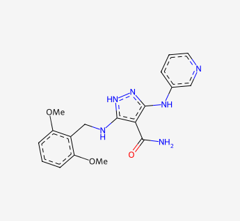 COc1cccc(OC)c1CNc1[nH]nc(Nc2cccnc2)c1C(N)=O